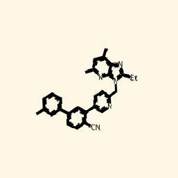 CCc1nc2c(C)cc(C)nc2n1Cc1ccc(-c2cc(-c3cccc(C)c3)ccc2C#N)cn1